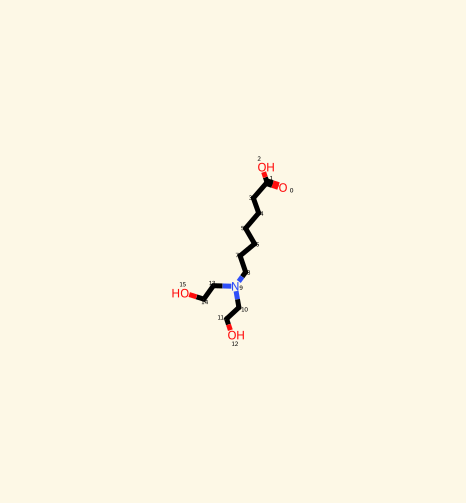 O=C(O)CCCCCCN(CCO)CCO